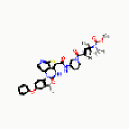 Cc1cc(Oc2ccccc2)ccc1N1C(=O)Nc2c(C(=O)N[C@@H]3CCCN(C(=O)/C(C#N)=C/C(C)(C)N(C)C(=O)OC(C)(C)C)C3)sc3nccc1c23